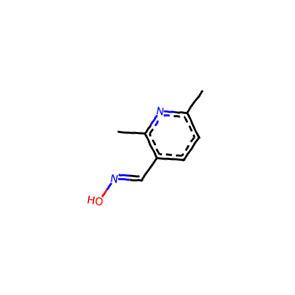 Cc1ccc(C=NO)c(C)n1